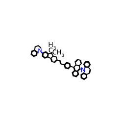 CC1(C)c2cc(N3CCCc4ccccc43)ccc2C2=CC=C(/C=C/c3ccc(C4=c5ccccc5=C(N5c6ccccc6C=Cc6ccccc65)C5C=CC=CC45)cc3)CC21